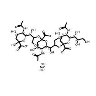 CC(=O)N[C@H]1[C@H]([C@H](O)C(CO)OC2(C(=O)[O-])C[C@H](O)[C@@H](NC(C)=O)[C@H]([C@H](O)C(CO)OC3(C(=O)[O-])C[C@H](O)[C@@H](NC(C)=O)[C@H]([C@H](O)[C@H](O)CO)O3)O2)OC(O)(C(=O)[O-])C[C@@H]1O.[Na+].[Na+].[Na+]